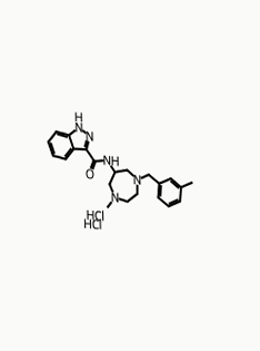 Cc1cccc(CN2CCN(C)CC(NC(=O)c3n[nH]c4ccccc34)C2)c1.Cl.Cl